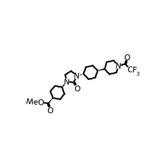 COC(=O)[C@H]1CC[C@@H](N2CCN([C@H]3CC[C@H](C4CCN(C(=O)C(F)(F)F)CC4)CC3)C2=O)CC1